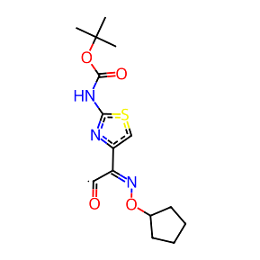 CC(C)(C)OC(=O)Nc1nc(/C([C]=O)=N/OC2CCCC2)cs1